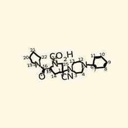 N#CC1(N2CCN(c3ccccc3)CC2)C[C@@H](C(=O)N2CCCC2)N(C(=O)O)C1